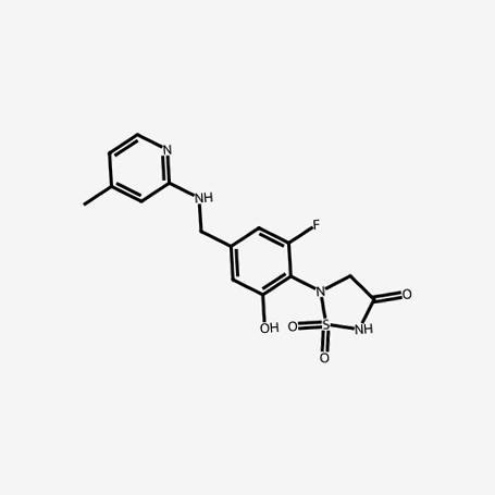 Cc1ccnc(NCc2cc(O)c(N3CC(=O)NS3(=O)=O)c(F)c2)c1